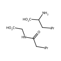 CC(C)CC(=O)NCC(=O)O.CC(C)CC(N)C(=O)O